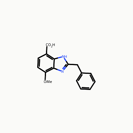 COc1ccc(C(=O)O)c2[nH]c(Cc3ccccc3)nc12